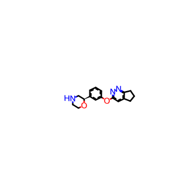 c1cc(Oc2cc3c(nn2)CCC3)cc([C@@H]2CNCCO2)c1